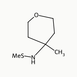 CSNC1(C)CCOCC1